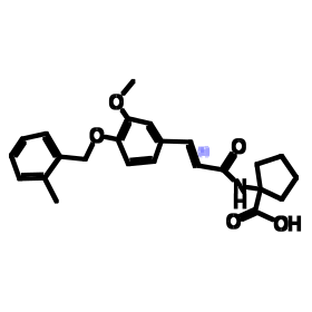 COc1cc(/C=C/C(=O)NC2(C(=O)O)CCCC2)ccc1OCc1ccccc1C